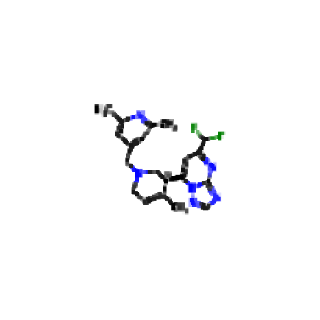 CC1=CCN(Cc2cc(C)nc(C)c2)C[C@H]1c1cc(C(F)F)nc2ncnn12